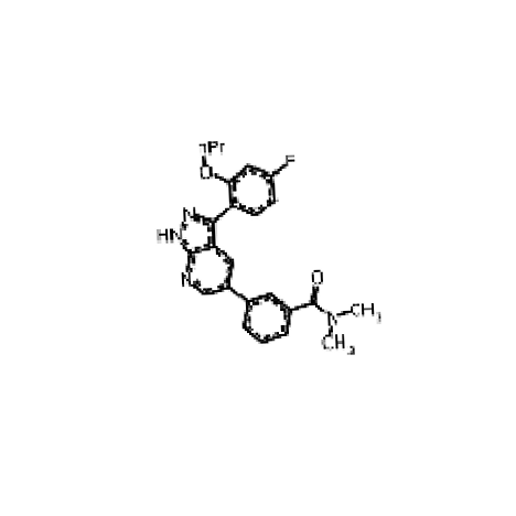 CCCOc1cc(F)ccc1-c1n[nH]c2ncc(-c3cccc(C(=O)N(C)C)c3)cc12